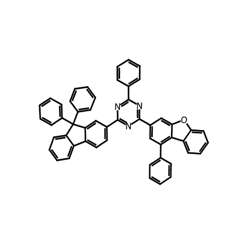 c1ccc(-c2nc(-c3ccc4c(c3)C(c3ccccc3)(c3ccccc3)c3ccccc3-4)nc(-c3cc(-c4ccccc4)c4c(c3)oc3ccccc34)n2)cc1